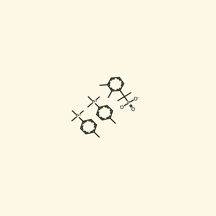 Cc1ccc([P+](C)(C)C)cc1.Cc1ccc([P+](C)(C)C)cc1.Cc1cccc(C(C)(C)P(=O)([O-])[O-])c1C